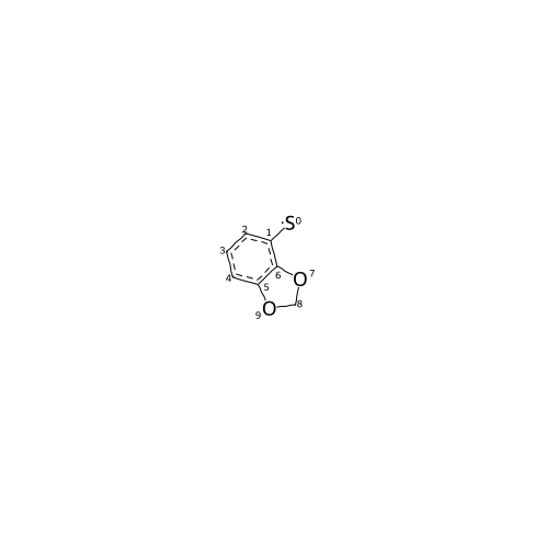 [S]c1cccc2c1OCO2